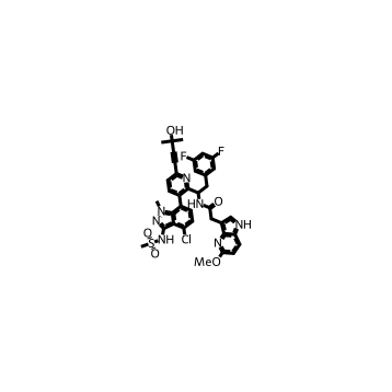 COc1ccc2[nH]cc(CC(=O)NC(Cc3cc(F)cc(F)c3)c3nc(C#CC(C)(C)O)ccc3-c3ccc(Cl)c4c(NS(C)(=O)=O)nn(C)c34)c2n1